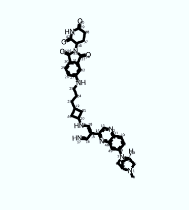 CN1C[C@H]2CC1CN2c1ccc2ncc(/C(C=N)=C/NC3CC(CCCNc4ccc5c(c4)C(=O)N(C4CCC(=O)NC4=O)C5=O)C3)nc2c1